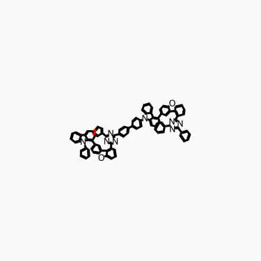 c1ccc(-c2nc(-c3ccccc3)nc(-c3cccc4oc5ccc(-c6cccc7c6c6ccccc6n7-c6ccc(-c7ccc(-c8nc(-c9ccccc9)nc(-c9cccc%10oc%11ccc(-c%12cccc%13c%14ccccc%14n(-c%14ccccc%14)c%12%13)cc%11c9%10)n8)cc7)cc6)cc5c34)n2)cc1